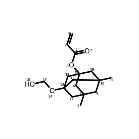 C=CC(=O)OC12CC3(C)CC(C)(CC(OCO)(C3)C1)C2